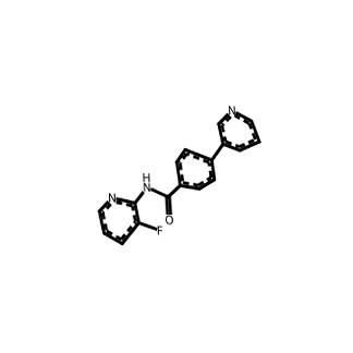 O=C(Nc1ncccc1F)c1ccc(-c2cccnc2)cc1